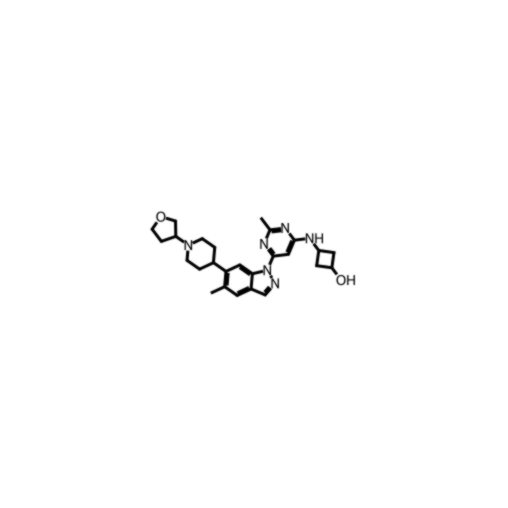 Cc1nc(NC2CC(O)C2)cc(-n2ncc3cc(C)c(C4CCN(C5CCOC5)CC4)cc32)n1